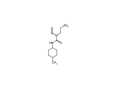 CC1CCC(NC(=O)N(CCP)N=O)CC1